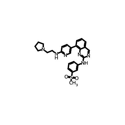 CS(=O)(=O)c1cccc(Nc2ncc3cccc(-c4ccc(NCCN5CCCC5)nc4)c3n2)c1